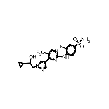 NS(=O)(=O)c1ccc(Nc2ncc(C(F)(F)F)c(-c3cnn(CC(O)C4CC4)c3)n2)c(F)c1